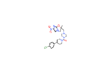 CC1(CN2CCN(C(=O)N3CC=C(c4ccc(Cl)cc4)CC3)CC2)Cn2cc([N+](=O)[O-])nc2O1